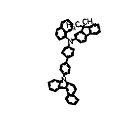 CC1(C)c2ccccc2-c2ccc(N(c3ccc(-c4ccc(-n5c6ccccc6c6c7ccccc7ccc65)cc4)cc3)c3cccc4ccccc34)cc21